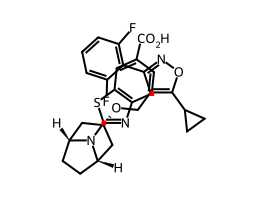 O=C(O)c1ccc2nc(N3[C@@H]4CC[C@H]3C[C@@H](OCc3c(-c5c(F)cccc5F)noc3C3CC3)C4)sc2c1